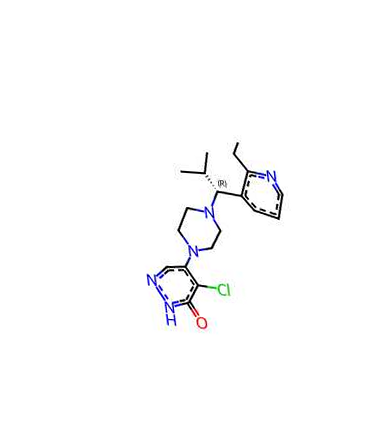 CCc1ncccc1[C@@H](C(C)C)N1CCN(c2cn[nH]c(=O)c2Cl)CC1